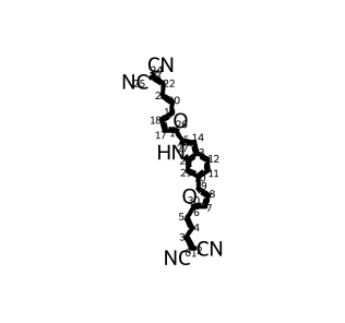 N#CC(C#N)=C/C=C/c1ccc(-c2ccc3cc(-c4ccc(/C=C/C=C(C#N)C#N)o4)[nH]c3c2)o1